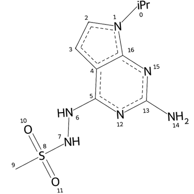 CC(C)n1ccc2c(NNS(C)(=O)=O)nc(N)nc21